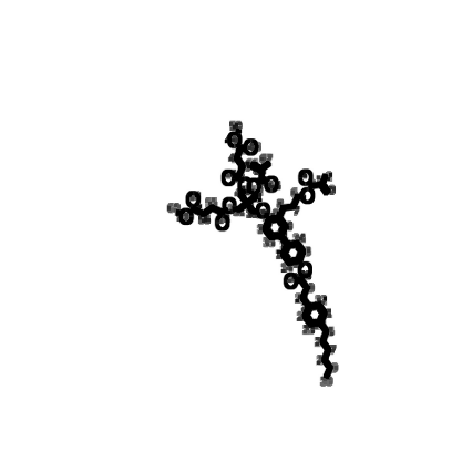 C=C(C)C(=O)OCCCc1cc(-c2ccc(OC(=O)CCc3ccc(CCCCCC)cc3)cc2)ccc1OCC(COC(=O)CCC(=O)OC)(COC(=O)CCC(=O)OC)COC(=O)C(=C)C